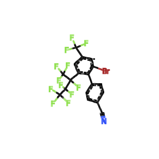 N#Cc1ccc(-c2c(Br)[c]c(C(F)(F)F)cc2C(F)(C(F)(F)F)C(F)(F)C(F)(F)F)cc1